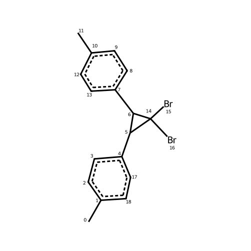 Cc1ccc(C2C(c3ccc(C)cc3)C2(Br)Br)cc1